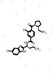 CCC[C@H](NC(=O)c1ccc(C(=O)N2CCC[C@H]2CN)c(Cl)c1)c1nc2cc(Cl)ccc2[nH]1